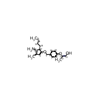 C=C1C=C(OCc2ccc(O/C(C)=C\O)cc2)[C@H](CCSC)N1N